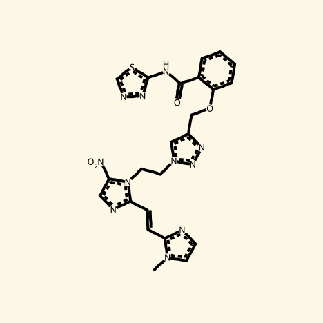 Cn1ccnc1C=Cc1ncc([N+](=O)[O-])n1CCn1cc(COc2ccccc2C(=O)Nc2nncs2)nn1